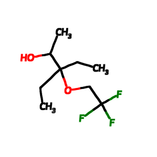 CCC(CC)(OCC(F)(F)F)C(C)O